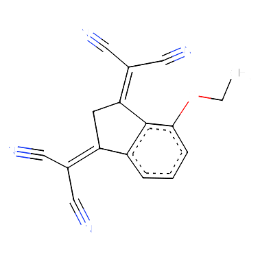 CCOc1cccc2c1C(=C(C#N)C#N)CC2=C(C#N)C#N